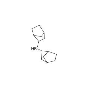 C1CC2CC1C[CH]2[BiH][CH]1CC2CCC1C2